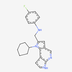 Fc1ccc(NCc2cc3cnc4[nH]ccc4c3n2C2CCCCC2)cc1